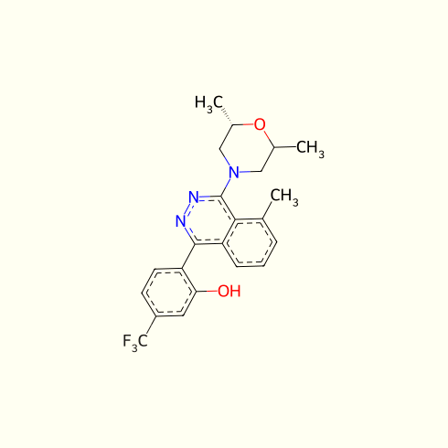 Cc1cccc2c(-c3ccc(C(F)(F)F)cc3O)nnc(N3CC(C)O[C@@H](C)C3)c12